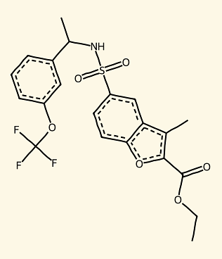 CCOC(=O)c1oc2ccc(S(=O)(=O)NC(C)c3cccc(OC(F)(F)F)c3)cc2c1C